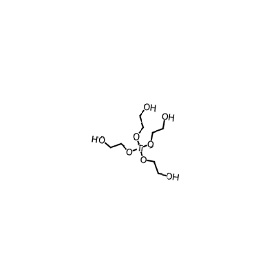 OCC[O][Ti]([O]CCO)([O]CCO)[O]CCO